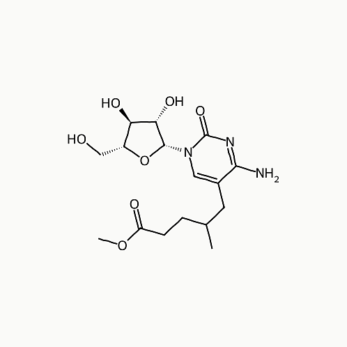 COC(=O)CCC(C)Cc1cn([C@@H]2O[C@H](CO)[C@@H](O)[C@@H]2O)c(=O)nc1N